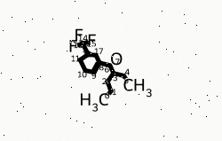 CCCC(CC)C(=O)C1=CCCC(C(F)(F)F)C1